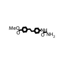 COC(=O)c1ccc(CCc2ccc(NC(=O)CN)cc2)cc1